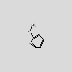 [NH2][Hf][c]1ccccn1